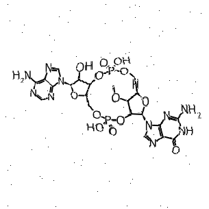 COC1C2OP(=O)(O)OCC3O[C@@H](n4cnc5c(N)ncnc54)C(O)C3OP(=O)(O)OC[C@H]1O[C@H]2n1cnc2c(=O)[nH]c(N)nc21